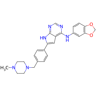 CN1CCN(Cc2ccc(-c3cc4c(Nc5ccc6c(c5)OCO6)ncnc4[nH]3)cc2)CC1